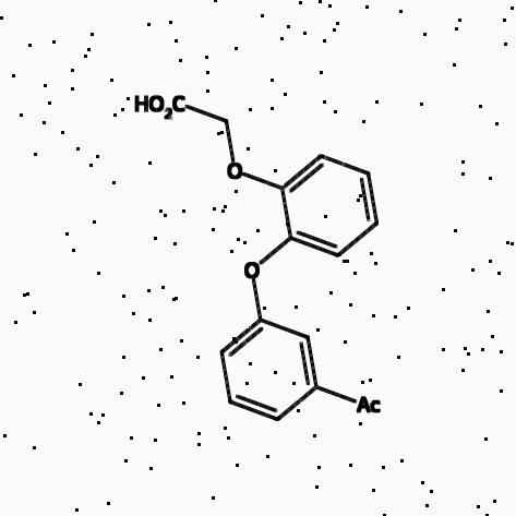 CC(=O)c1cccc(Oc2ccccc2OCC(=O)O)c1